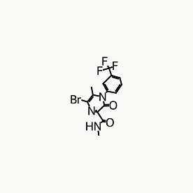 CNC(=O)c1nc(Br)c(C)n(-c2cccc(C(F)(F)F)c2)c1=O